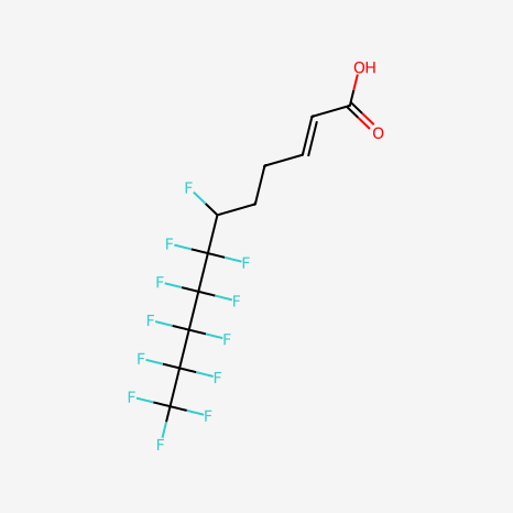 O=C(O)C=CCCC(F)C(F)(F)C(F)(F)C(F)(F)C(F)(F)C(F)(F)F